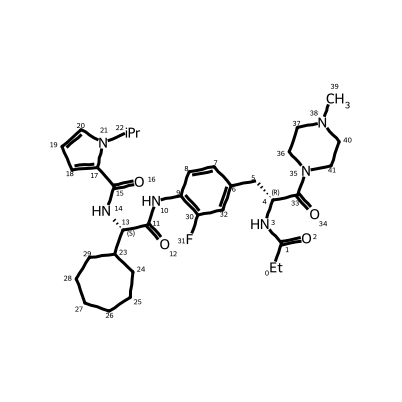 CCC(=O)N[C@H](Cc1ccc(NC(=O)[C@@H](NC(=O)c2cccn2C(C)C)C2CCCCCC2)c(F)c1)C(=O)N1CCN(C)CC1